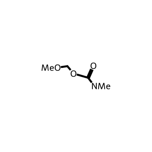 CNC(=O)OCOC